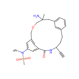 C#CC1CCc2cccc(c2)CC(C)(N)COCc2cc(cc(N(CCC)S(C)(=O)=O)c2)C(=O)N1